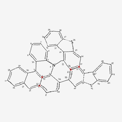 c1ccc(N(c2ccccc2-c2cccc3ccccc23)c2cccc3sc4ccccc4c23)c(-c2ccc3c(c2)sc2ccccc23)c1